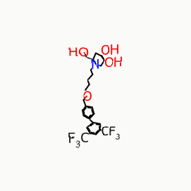 OC[C@H]1CC(O)[C@@H](O)CN1CCCCCOCc1ccc(-c2cc(C(F)(F)F)cc(C(F)(F)F)c2)cc1